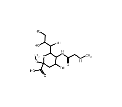 CNCC(=O)NC1C(O)CC(OC)(C(=O)O)OC1C(O)C(O)CO